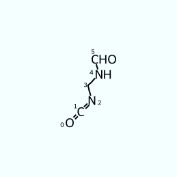 O=C=NCNC=O